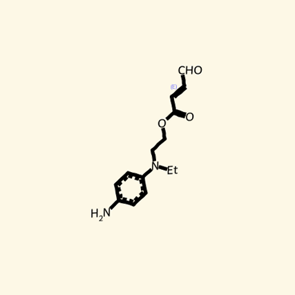 CCN(CCOC(=O)/C=C/C=O)c1ccc(N)cc1